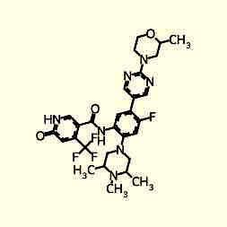 CC1CN(c2ncc(-c3cc(NC(=O)c4c[nH]c(=O)cc4C(F)(F)F)c(N4CC(C)N(C)C(C)C4)cc3F)cn2)CCO1